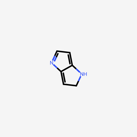 C1=NC2=CCNC2=C1